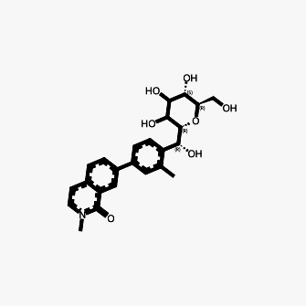 Cc1cc(-c2ccc3ccn(C)c(=O)c3c2)ccc1[C@@H](O)[C@H]1O[C@H](CO)[C@@H](O)C(O)C1O